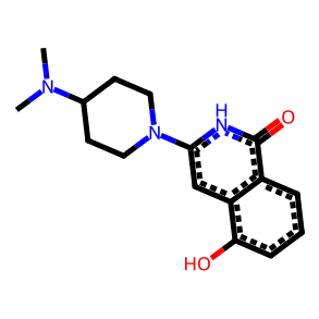 CN(C)C1CCN(c2cc3c(O)cccc3c(=O)[nH]2)CC1